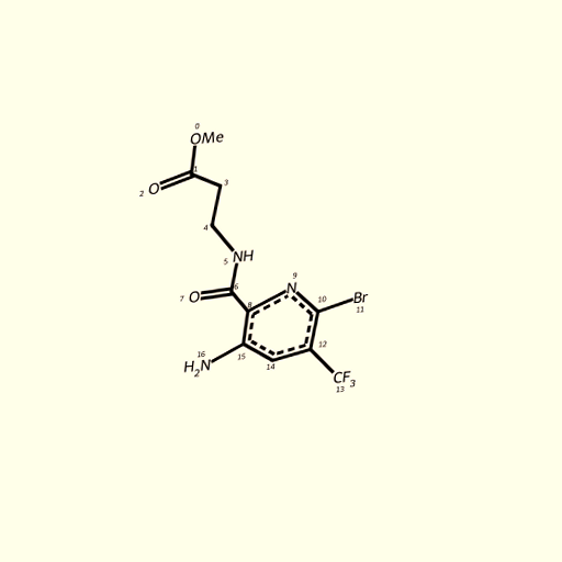 COC(=O)CCNC(=O)c1nc(Br)c(C(F)(F)F)cc1N